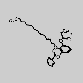 C=CC(=O)Oc1cc[c]c(OC(=O)c2ccccc2)c1OCCCCCCCCCCCCCC